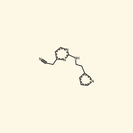 N#CCc1ccnc(NCCc2cccnc2)n1